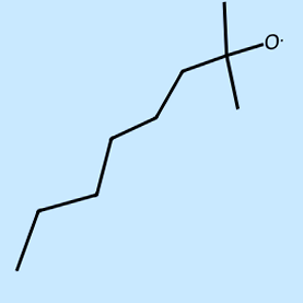 CCCCCCC(C)(C)[O]